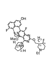 C#Cc1c(F)ccc2cc(O)cc(-c3nc(OC)c4c(N5C[C@H]6CC[C@@H](C5)N6)nc(OC[C@]5(C)CN(CC)CC[C@@H]5F)nc4c3F)c12